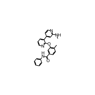 CNc1cc(-c2cccnc2Oc2cc(C(=O)Nc3ccccc3)ccc2C)ccn1